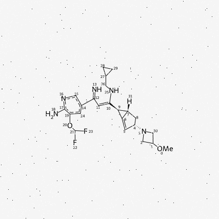 COC1CN([C@@H]2C=C3[C@@H](C2)[C@@H]3/C(=C/C(=N)c2cnc(N)c(OC(F)F)c2)NCC2CC2)C1